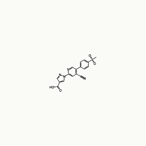 CS(=O)(=O)c1ccc(-c2cnc(-n3cc(C(=O)O)cn3)cc2C#N)cc1